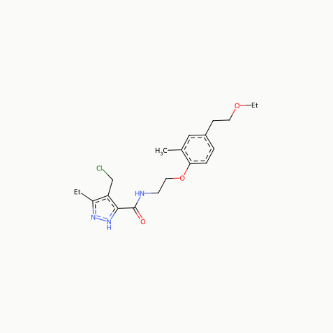 CCOCCc1ccc(OCCNC(=O)c2[nH]nc(CC)c2CCl)c(C)c1